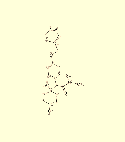 CN(C)C(=O)C(c1ccc(OCc2ccccc2)cc1)C1(O)CCC(O)CC1